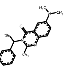 Cc1nc2ccc(N(C)C)cc2c(=O)n1C(c1ccccc1)C(C)(C)C